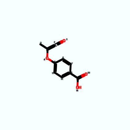 CC(=C=O)Oc1ccc(C(=O)O)cc1